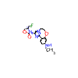 CCNc1ccc2c(c1)OCCn1cc(N3C(=O)OC/C3=C/F)nc1-2